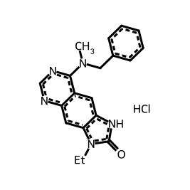 CCn1c(=O)[nH]c2cc3c(N(C)Cc4ccccc4)ncnc3cc21.Cl